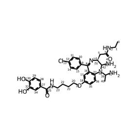 CCNC(=O)C[C@@H]1N=C(c2ccc(Cl)cc2)c2cc(OCCCCNC(=O)c3ccc(O)c(O)c3)ccc2N(C(C)N)C1N